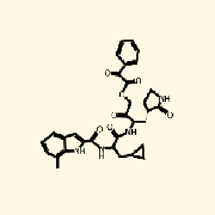 O=C(OCC(=O)C(C[C@@H]1CCNC1=O)NC(=O)C(CC1CC1)NC(=O)c1cc2cccc(F)c2[nH]1)C(=O)c1ccccc1